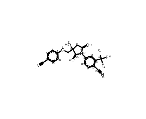 N#Cc1ccc(OCC2(O)CC(=O)N(c3ccc(C#N)c(C(F)(F)F)c3)C2=O)cc1